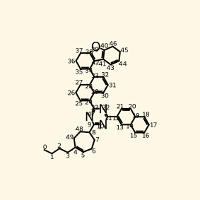 CCCCC1=CCCC(c2nc(C3=CC4C=CC=CC4C=C3)nc(C3=CCCC4C3=CC=CC4C3=CCCc4oc5c(c43)C=CCC5)n2)CC1